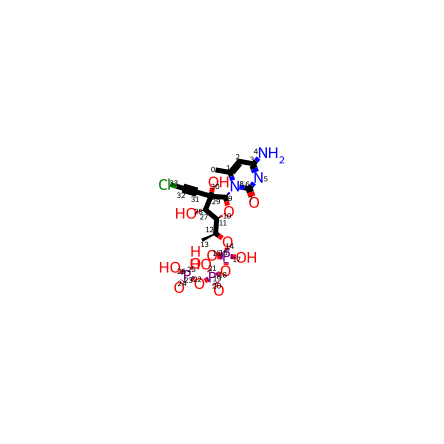 Cc1cc(N)nc(=O)n1[C@@H]1O[C@H]([C@H](C)OP(=O)(O)OP(=O)(O)OP(=O)(O)O)[C@H](O)C1(O)C#CCl